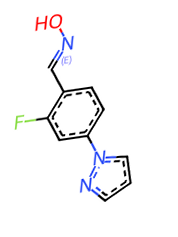 O/N=C/c1ccc(-n2cccn2)cc1F